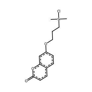 C[Si](C)(Cl)CCCOc1ccc2ccc(=O)oc2c1